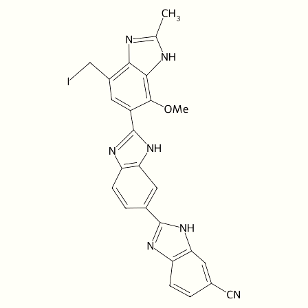 COc1c(-c2nc3ccc(-c4nc5ccc(C#N)cc5[nH]4)cc3[nH]2)cc(CI)c2nc(C)[nH]c12